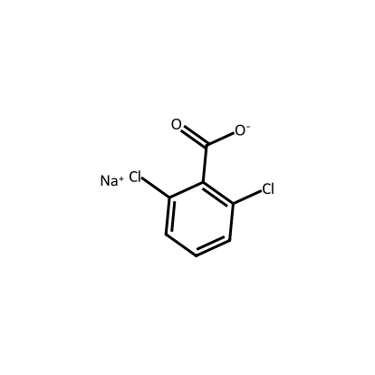 O=C([O-])c1c(Cl)cccc1Cl.[Na+]